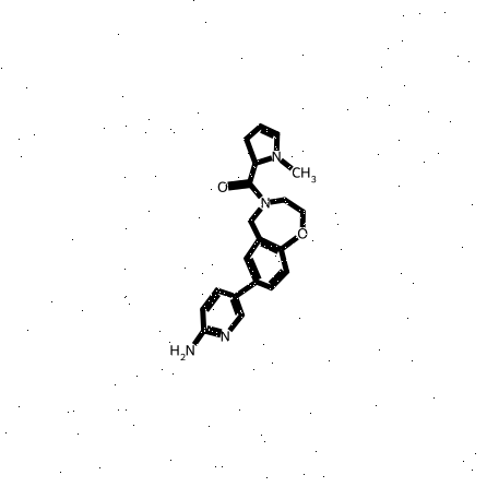 CN1C=CCC1C(=O)N1CCOc2ccc(-c3ccc(N)nc3)cc2C1